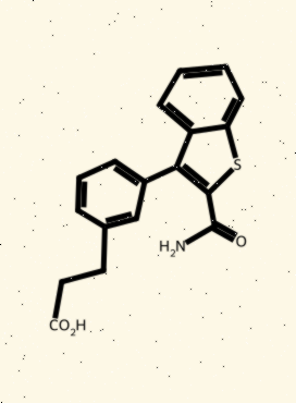 NC(=O)c1sc2ccccc2c1-c1cccc(CCC(=O)O)c1